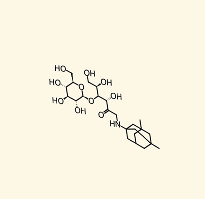 CC12CC3CC(C)(C1)CC(NCC(=O)[C@@H](O)C(O[C@@H]1O[C@H](CO)[C@@H](O)[C@H](O)[C@H]1O)[C@H](O)CO)(C3)C2